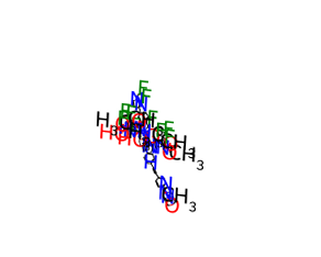 COC(=O)N[C@H](C(=O)N[C@@H](Cc1ccc(C#Cc2ccc(N3CC4COCC(C3)N4C)nc2)cc1)[C@@H](O)CN(Cc1c(F)cc(-c2ccn(CC(F)F)n2)cc1F)NC(=O)[C@@H](NC(=O)O)C(C)(C)C(F)(F)F)C(C)(C)C(F)(F)F